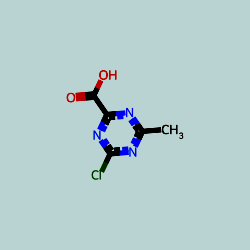 Cc1nc(Cl)nc(C(=O)O)n1